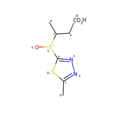 Cc1nnc([S+]([O-])C(C)CC(=O)O)s1